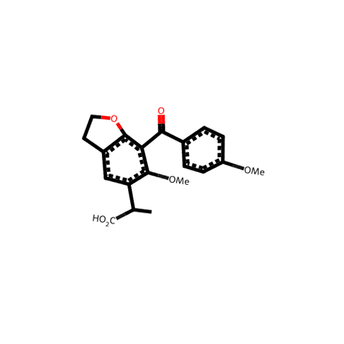 COc1ccc(C(=O)c2c3c(cc(C(C)C(=O)O)c2OC)CCO3)cc1